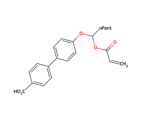 C=CC(=O)OC(CCCCC)Oc1ccc(-c2ccc(C(=O)O)cc2)cc1